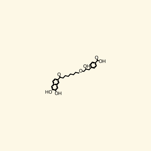 O=C(O)c1ccc(CC(O)COCCCCCCCC(=O)c2ccc3cc(O)c(O)cc3c2)cc1